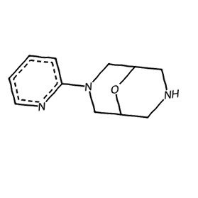 c1ccc(N2CC3CNCC(C2)O3)nc1